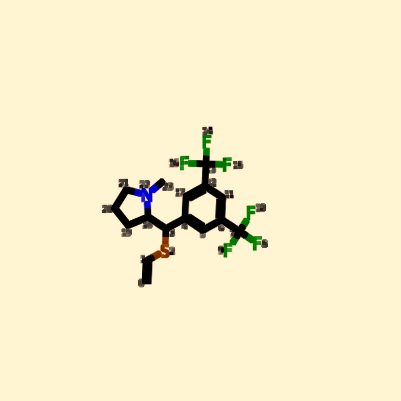 C=CSC(c1cc(C(F)(F)F)cc(C(F)(F)F)c1)C1CCCN1C